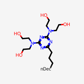 CCCCCCCCCCCCCc1nc(N(CCO)CCO)nc(N(CCO)CCO)n1